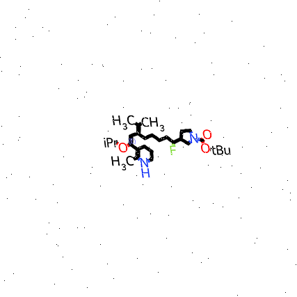 CC(C)=C(/C=C(/OC(C)C)C1=C(C)NCCC1)CCCCC(F)C1CCN(C(=O)OC(C)(C)C)C1